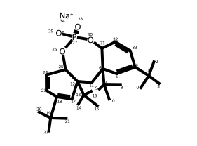 CC(C)(C)C1=CC2(C(C)(C)C)CC3(C(C)(C)C)C=C(C(C)(C)C)C=CC3OP(=O)([O-])OC2C=C1.[Na+]